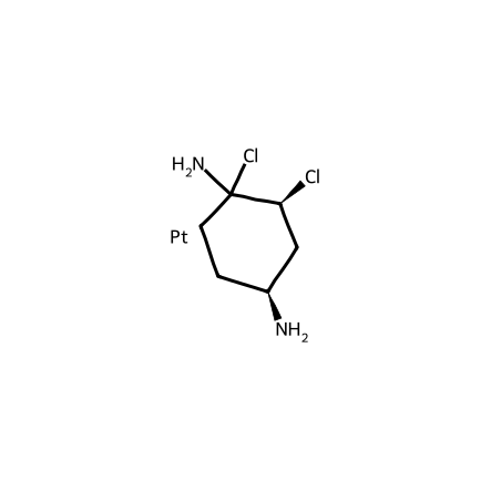 N[C@H]1CCC(N)(Cl)[C@@H](Cl)C1.[Pt]